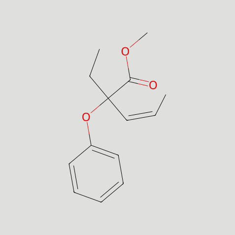 C/C=C\C(CC)(Oc1ccccc1)C(=O)OC